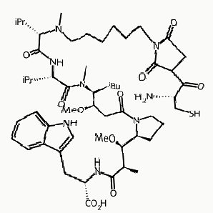 CC[C@H](C)[C@@H]([C@@H](CC(=O)N1CCC[C@H]1[C@H](OC)[C@@H](C)C(=O)N[C@@H](Cc1c[nH]c2ccccc12)C(=O)O)OC)N(C)C(=O)[C@@H](NC(=O)[C@H](C(C)C)N(C)CCCCCCN1C(=O)CC(C(=O)[C@@H](N)CS)C1=O)C(C)C